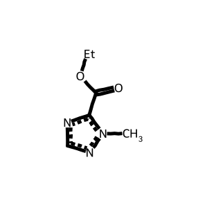 CCOC(=O)c1ncnn1C